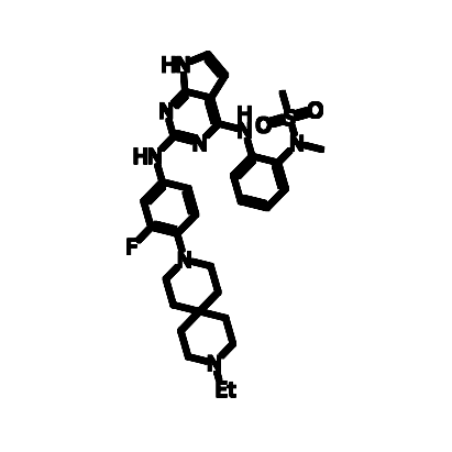 CCN1CCC2(CC1)CCN(c1ccc(Nc3nc(Nc4ccccc4N(C)S(C)(=O)=O)c4cc[nH]c4n3)cc1F)CC2